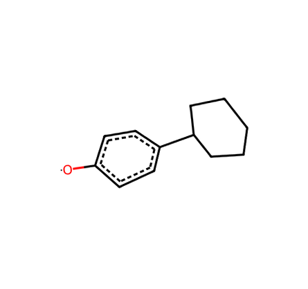 [O]c1ccc(C2CCCCC2)cc1